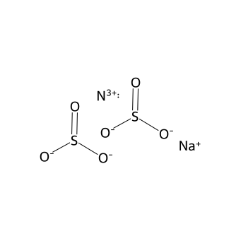 O=S([O-])[O-].O=S([O-])[O-].[N+3].[Na+]